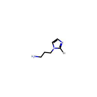 CCc1nccn1CCCN